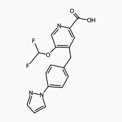 O=C(O)c1cc(Cc2ccc(-n3cccn3)cc2)c(OC(F)F)cn1